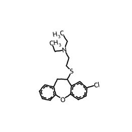 CCN(CC)CCSC1Cc2ccccc2Oc2ccc(Cl)cc21